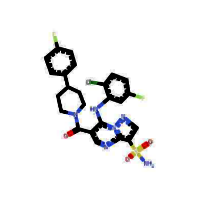 NS(=O)(=O)c1cnn2c(Nc3cc(F)ccc3Cl)c(C(=O)N3CCC(c4ccc(F)cc4)CC3)cnc12